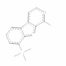 C[Si](C)(C)c1cccc2c1sc1c(Cl)nccc12